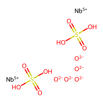 O=S(=O)(O)O.O=S(=O)(O)O.[Nb+5].[Nb+5].[O-2].[O-2].[O-2].[O-2].[O-2]